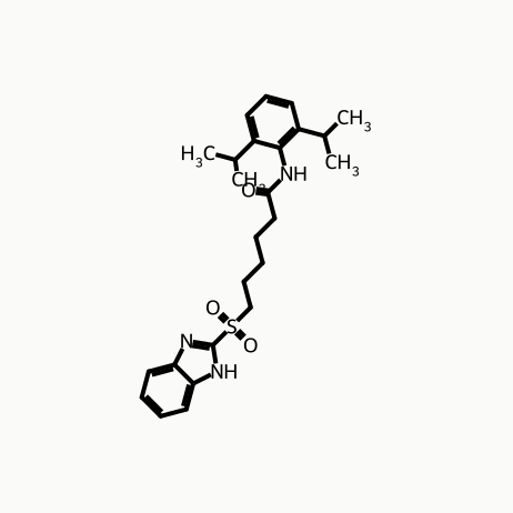 CC(C)c1cccc(C(C)C)c1NC(=O)CCCCCS(=O)(=O)c1nc2ccccc2[nH]1